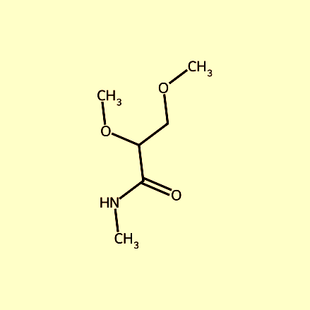 CNC(=O)C(COC)OC